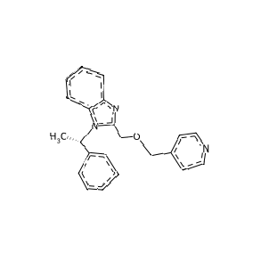 C[C@@H](c1ccccc1)n1c(COCc2ccncc2)nc2ccccc21